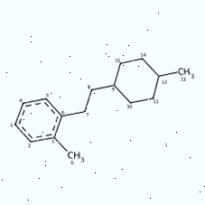 Cc1ccccc1CCC1CCC(C)CC1